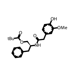 COc1cc(CC(=O)N[C@H](COC(=O)C(C)(C)C)Cc2ccccc2)ccc1O